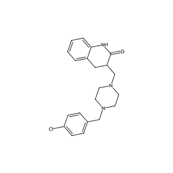 O=C1Nc2ccccc2CC1CN1CCN(Cc2ccc(Cl)cc2)CC1